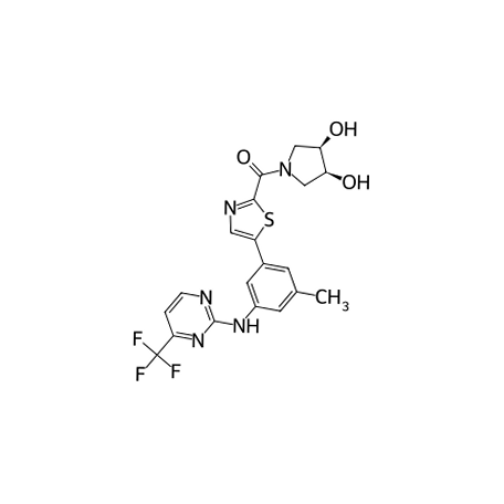 Cc1cc(Nc2nccc(C(F)(F)F)n2)cc(-c2cnc(C(=O)N3C[C@@H](O)[C@@H](O)C3)s2)c1